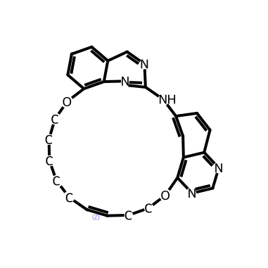 C1=C\CCOc2ncnc3ccc(cc23)Nc2ncc3cccc(c3n2)OCCCCC/1